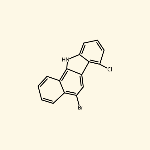 Clc1cccc2[nH]c3c4ccccc4c(Br)cc3c12